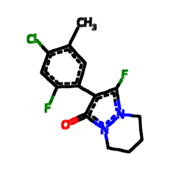 Cc1cc(-c2c(F)n3n(c2=O)CCCC3)c(F)cc1Cl